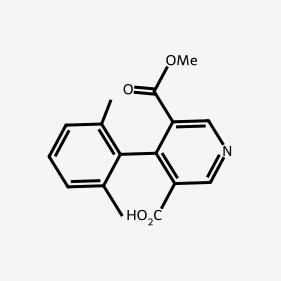 COC(=O)c1cncc(C(=O)O)c1-c1c(C)cccc1C